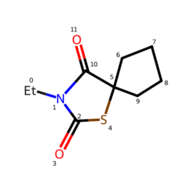 CCN1C(=O)SC2(CCCC2)C1=O